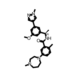 COc1cc(-c2cnn(C)c2)cc([C@@H](C)NC(=O)c2cc(N3CCCN(C)CC3)ccc2C)c1